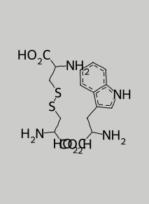 NC(CSSCC(N)C(=O)O)C(=O)O.NC(Cc1c[nH]c2ccccc12)C(=O)O